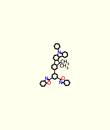 CC1(C)c2cc(-c3cc(-c4nc5ccccc5o4)cc(-c4nc5ccccc5o4)c3)ccc2-c2ccc3c(c21)c1ccccc1n3-c1ccccc1